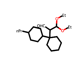 CCCC1CCC(C2(C(C=O)C(OCC)OCC)CCCCC2)CC1